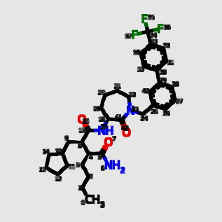 CCCC[C@H](C(N)=O)[C@@H](CC1CCCC1)C(=O)N[C@H]1CCCCN(Cc2cccc(-c3ccc(C(F)(F)F)cc3)c2)C1=O